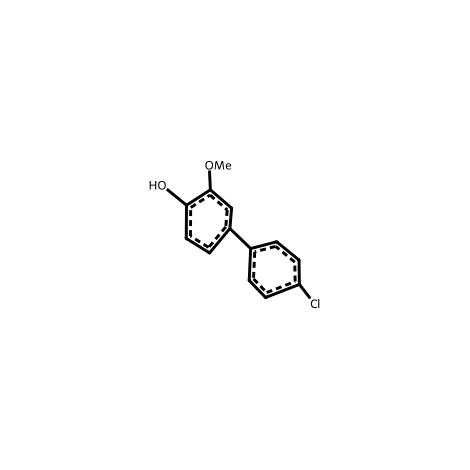 COc1cc(-c2ccc(Cl)cc2)ccc1O